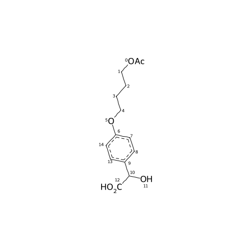 CC(=O)OCCCCOc1ccc(C(O)C(=O)O)cc1